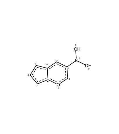 OB(O)c1coc2cccc-2c1